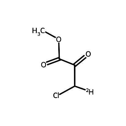 [2H]C(Cl)C(=O)C(=O)OC